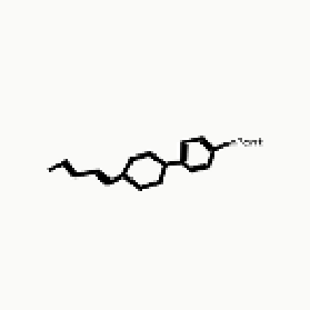 CC=CC=CC1CCC(c2ccc(CCCCC)cc2)CC1